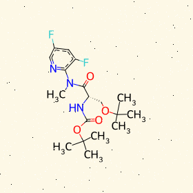 CN(C(=O)[C@H](COC(C)(C)C)NC(=O)OC(C)(C)C)c1ncc(F)cc1F